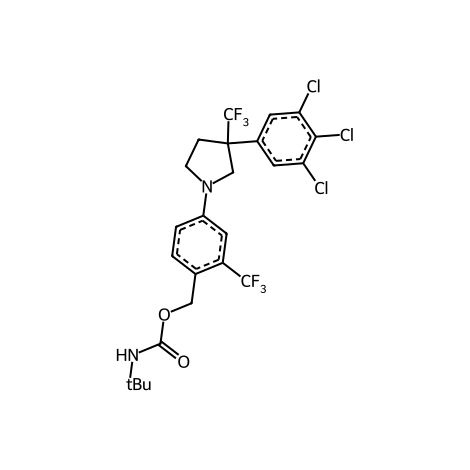 CC(C)(C)NC(=O)OCc1ccc(N2CCC(c3cc(Cl)c(Cl)c(Cl)c3)(C(F)(F)F)C2)cc1C(F)(F)F